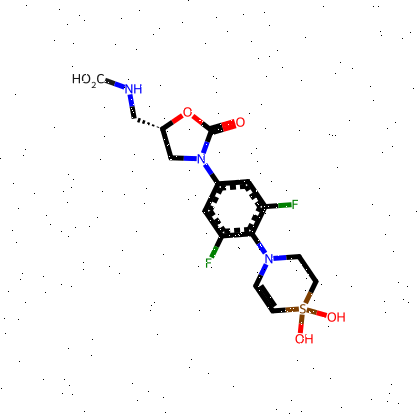 O=C(O)NC[C@H]1CN(c2cc(F)c(N3C=CS(O)(O)CC3)c(F)c2)C(=O)O1